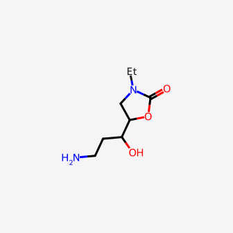 CCN1CC(C(O)CCN)OC1=O